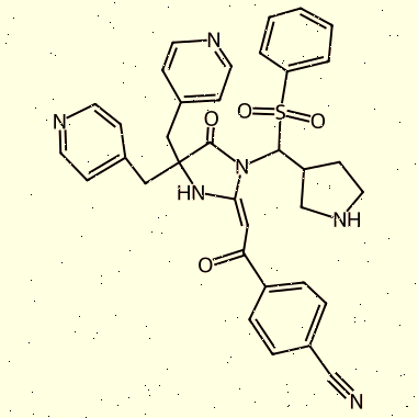 N#Cc1ccc(C(=O)/C=C2\NC(Cc3ccncc3)(Cc3ccncc3)C(=O)N2C(C2CCNC2)S(=O)(=O)c2ccccc2)cc1